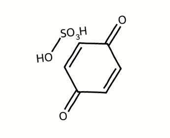 O=C1C=CC(=O)C=C1.O=S(=O)(O)O